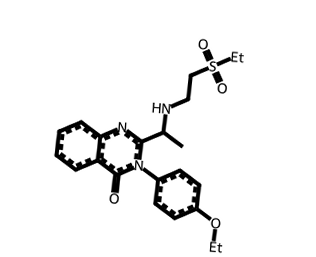 CCOc1ccc(-n2c(C(C)NCCS(=O)(=O)CC)nc3ccccc3c2=O)cc1